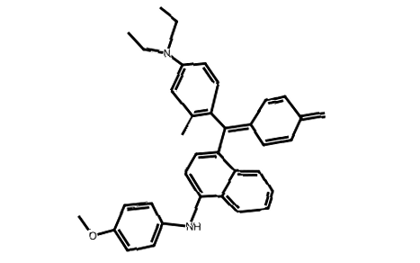 C=c1ccc(=C(c2ccc(N(CC)CC)cc2C)c2ccc(Nc3ccc(OC)cc3)c3ccccc23)cc1